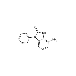 Nc1cccc2c1[nH]c(=O)n2-c1ccccc1